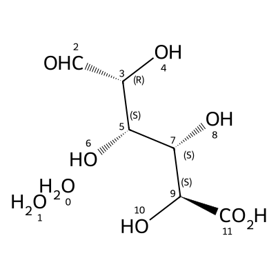 O.O.O=C[C@H](O)[C@@H](O)[C@H](O)[C@H](O)C(=O)O